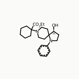 CCOC(=O)C1(N2CCC3(CC2)[C@@H](O)CCN3c2ccccc2)CCCCC1